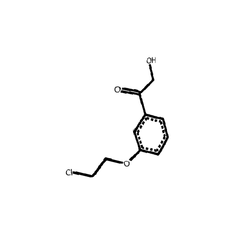 O=C(CO)c1cccc(OCCCl)c1